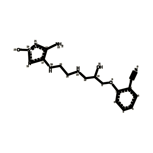 N#Cc1ccccc1OCC(O)CNCCNc1n[s+]([O-])nc1N